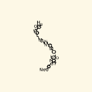 COc1ccc(COc2c(F)cc(C(=O)NC[C@H]3CC[C@H](n4cc5ccc(-c6cnc(N7CCN(CCCc8ccc9c(C%10CCC(=O)NC%10=O)cnn9c8)CC7)cn6)cc5n4)CC3)c(F)c2F)cc1